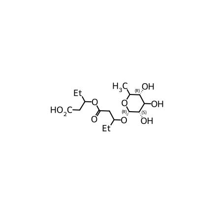 CCC(CC(=O)O)OC(=O)CC(CC)O[C@@H]1OC(C)[C@H](O)C(O)[C@@H]1O